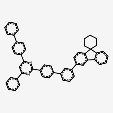 c1ccc(-c2ccc(-c3cc(-c4ccccc4)nc(-c4ccc(-c5cccc(-c6ccc7c(c6)-c6ccccc6C76CCCCC6)c5)cc4)n3)cc2)cc1